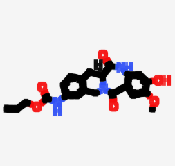 C=CCOC(=O)Nc1ccc2c(c1)CN1C(=O)c3cc(OC)c(O)cc3NC(=O)[C@@H]1C2